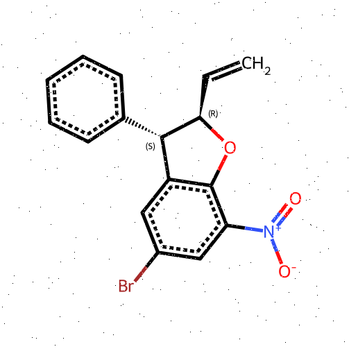 C=C[C@H]1Oc2c(cc(Br)cc2[N+](=O)[O-])[C@@H]1c1ccccc1